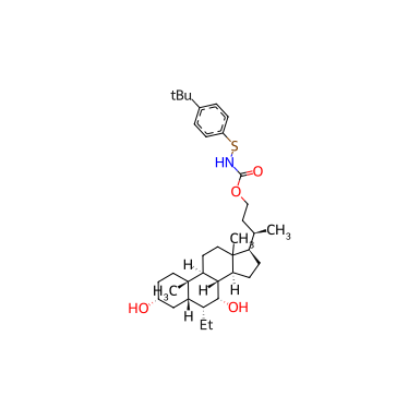 CC[C@H]1[C@@H](O)[C@H]2[C@@H]3CC[C@H]([C@H](C)CCOC(=O)NSc4ccc(C(C)(C)C)cc4)C3(C)CC[C@@H]2[C@@]2(C)CC[C@@H](O)C[C@@H]12